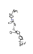 CC(C)(O)c1ccc(-c2ccc(OCCNC(=O)/C=C/c3ccc(N)nc3)c(Cl)c2)s1